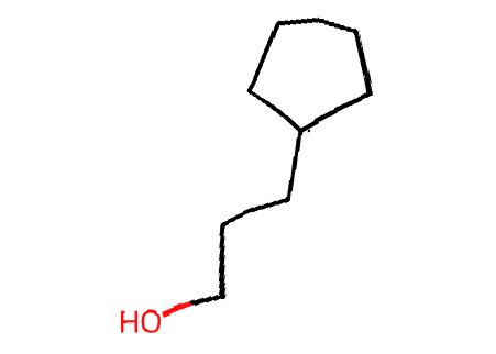 OCCC[C]1CCCC1